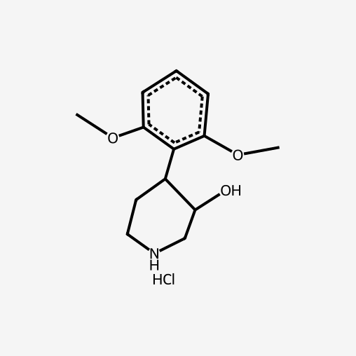 COc1cccc(OC)c1C1CCNCC1O.Cl